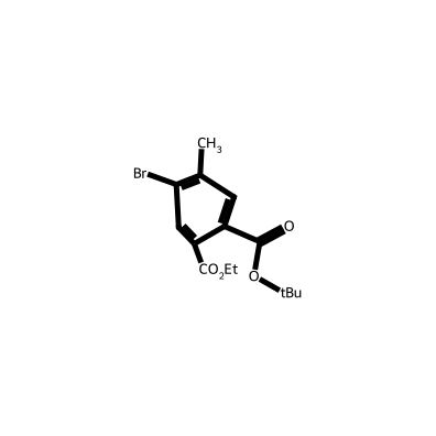 CCOC(=O)c1cc(Br)c(C)cc1C(=O)OC(C)(C)C